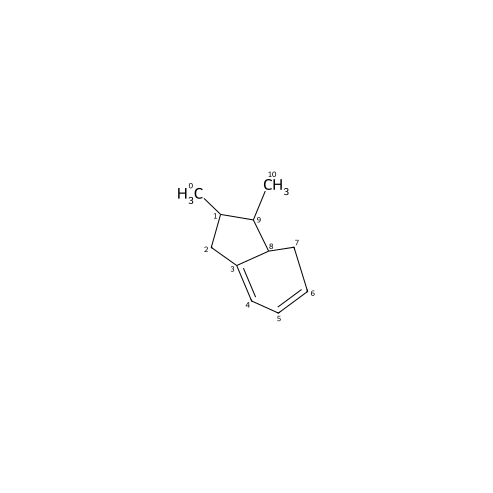 CC1CC2=CC=CCC2C1C